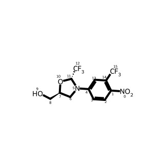 O=[N+]([O-])c1ccc(N2C[C@@H](CO)O[C@@H]2C(F)(F)F)cc1C(F)(F)F